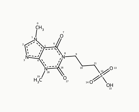 Cn1cnc2c1c(=O)n(CCCS(=O)(=O)O)c(=O)n2C